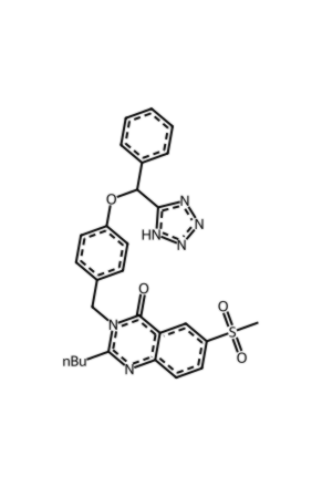 CCCCc1nc2ccc(S(C)(=O)=O)cc2c(=O)n1Cc1ccc(OC(c2ccccc2)c2nnn[nH]2)cc1